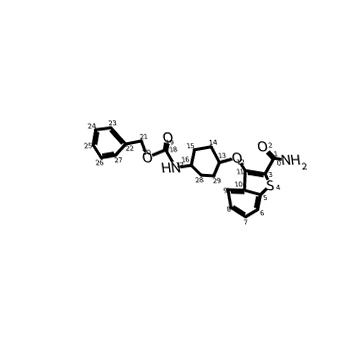 NC(=O)c1sc2ccccc2c1OC1CCC(NC(=O)OCc2ccccc2)CC1